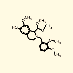 COc1cc2c(cc1O)CCN(Cc1cccc(OC)c1OC)C2C(OC)OC